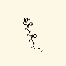 C=CCOC(=O)CCCC(=O)OC